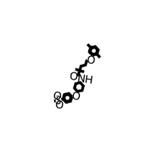 Cc1ccc(C)c(OCCCC(C)(C)C(=O)N[C@H]2CC[C@H](Oc3ccc(S(C)(=O)=O)cc3)CC2)c1